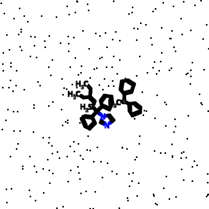 CB(c1ccccc1)c1ccccc1.CCC(=C[SiH2]C(c1ccccc1)(c1ccccc1)n1ccnc1)CC